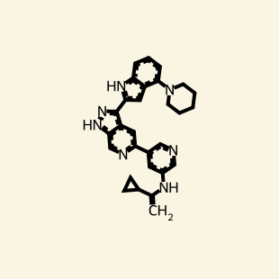 C=C(Nc1cncc(-c2cc3c(-c4cc5c(N6CCCCC6)cccc5[nH]4)n[nH]c3cn2)c1)C1CC1